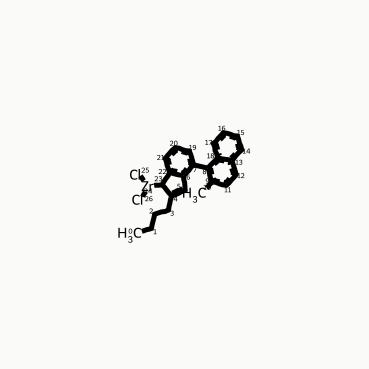 CCCCC1=Cc2c(-c3c(C)ccc4ccccc34)cccc2[CH]1[Zr]([Cl])[Cl]